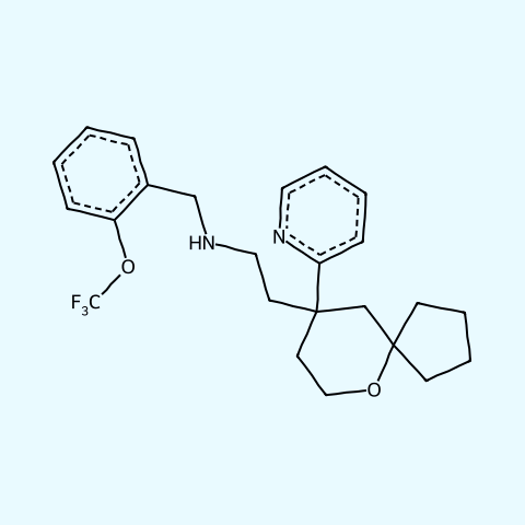 FC(F)(F)Oc1ccccc1CNCCC1(c2ccccn2)CCOC2(CCCC2)C1